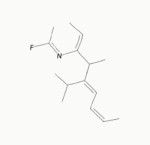 C/C=C\C=C(/C(C)C)C(C)C(=C/C)/N=C(\C)F